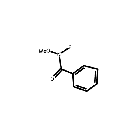 CON(F)C(=O)c1ccccc1